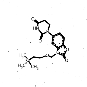 C[Si](C)(C)CCOCn1c(=O)oc2ccc(N3CCC(=O)NC3=O)cc21